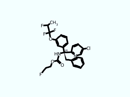 CC(F)C(F)(F)Oc1cccc([C@@](Cc2ccccc2)(NC(=O)OCCF)c2ccc(Cl)cn2)c1